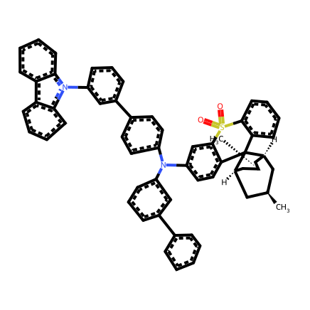 C[C@H]1C[C@@H]2C[C@@H](C)C[C@H](C1)C21c2ccccc2S(=O)(=O)c2cc(N(c3ccc(-c4cccc(-n5c6ccccc6c6ccccc65)c4)cc3)c3cccc(-c4ccccc4)c3)ccc21